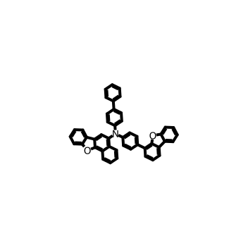 c1ccc(-c2ccc(N(c3ccc(-c4cccc5c4oc4ccccc45)cc3)c3cc4c5ccccc5oc4c4ccccc34)cc2)cc1